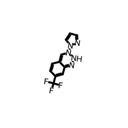 FC(F)(F)c1ccc2c(c1)=NNN(n1cccn1)C=2